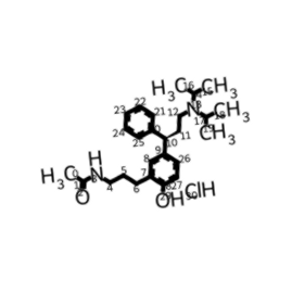 CC(=O)NCCCc1cc([C@H](CCN(C(C)C)C(C)C)c2ccccc2)ccc1O.Cl